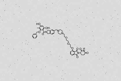 Cc1c(O)cc(O)c(C(=O)N2Cc3ccc(CN4CCN(CCOCCOCCOc5cccc6c5C(=O)N(C5CCC(=O)NC5=O)C6=O)CC4)cc3C2)c1OCc1ccccc1